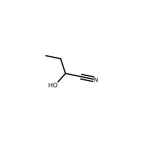 C[CH]C(O)C#N